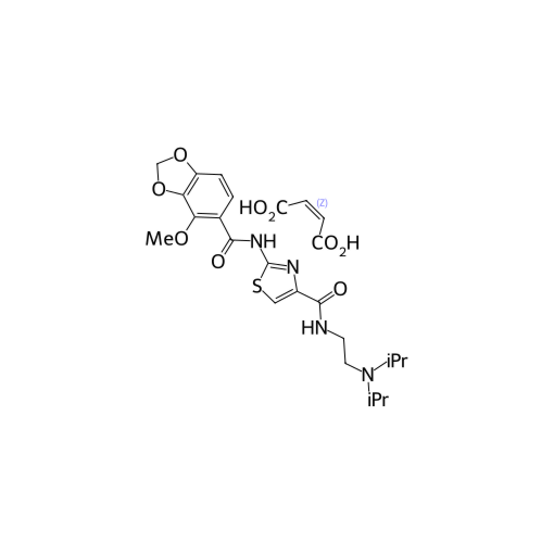 COc1c(C(=O)Nc2nc(C(=O)NCCN(C(C)C)C(C)C)cs2)ccc2c1OCO2.O=C(O)/C=C\C(=O)O